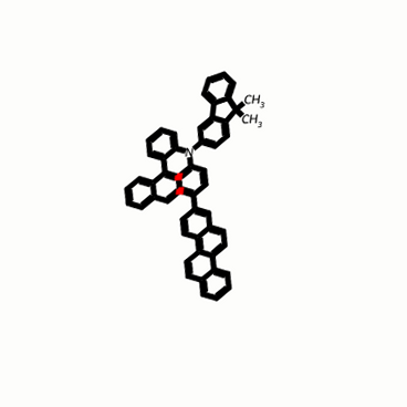 CC1(C)c2ccccc2-c2cc(N(c3ccc(-c4ccc5c(ccc6c7ccccc7ccc56)c4)cc3)c3ccccc3-c3cccc4ccccc34)ccc21